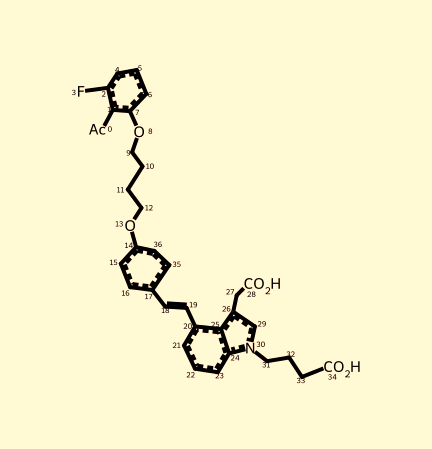 CC(=O)c1c(F)cccc1OCCCCOc1ccc(/C=C/c2cccc3c2c(CC(=O)O)cn3CCCC(=O)O)cc1